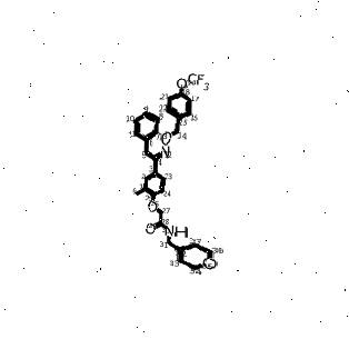 Cc1cc(/C(Cc2ccccc2)=N/OCc2ccc(OC(F)(F)F)cc2)ccc1OCC(=O)NCC1CCOCC1